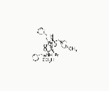 CC(C)C[C@H](NC(=O)[C@H](CCc1ccccc1)NC(=O)CN1CCN(C)CC1)C(=O)N[C@@H](Cc1ccccc1)C(=O)O